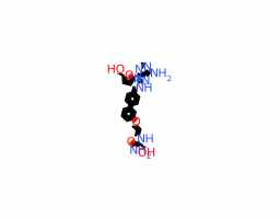 NC(=O)[C@H](CO)NCCCOc1cccc(-c2ccc(CNc3nc4c(N)ncnc4n3[C@H]3CC[C@@H](CO)O3)cc2)c1